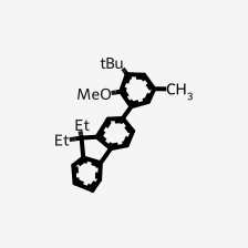 CCC1(CC)c2ccccc2-c2ccc(-c3cc(C)cc(C(C)(C)C)c3OC)cc21